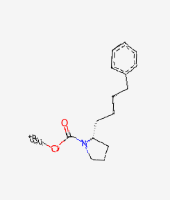 CC(C)(C)OC(=O)N1CCC[C@H]1CCCCc1ccccc1